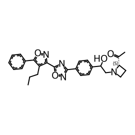 CCCc1c(-c2nc(-c3ccc(C(O)CN4CC[C@H]4C(C)=O)cc3)no2)noc1-c1ccccc1